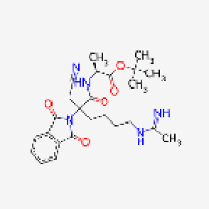 CC(=N)NCCCCC(CC#N)(C(=O)N[C@@H](C)C(=O)OC(C)(C)C)N1C(=O)c2ccccc2C1=O